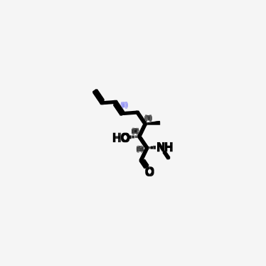 C=C/C=C/C[C@@H](C)[C@@H](O)[C@@H](C=O)NC